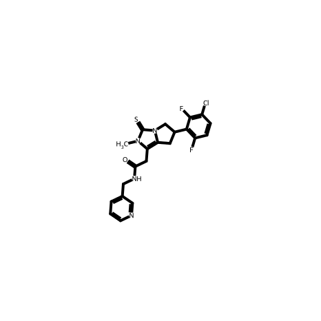 Cn1c(CC(=O)NCc2cccnc2)c2n(c1=S)CC(c1c(F)ccc(Cl)c1F)C2